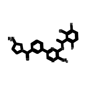 CC(Oc1nc(-c2cccc(C(=O)N3CCC(N)C3)c2)cnc1N)c1c(F)ccc(F)c1Cl